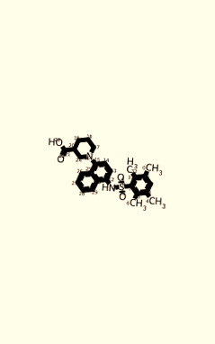 Cc1cc(C)c(C)c(S(=O)(=O)Nc2ccc(N3CCCC(C(=O)O)C3)c3ccccc23)c1C